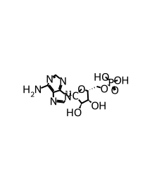 Nc1ncnc2c1ncn2[11C@@H]1O[C@H](COP(=O)(O)O)[C@@H](O)[C@H]1O